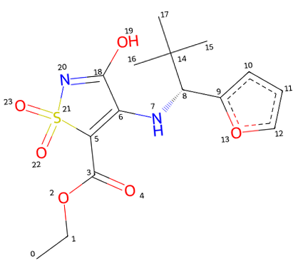 CCOC(=O)C1=C(N[C@@H](c2ccco2)C(C)(C)C)C(O)=NS1(=O)=O